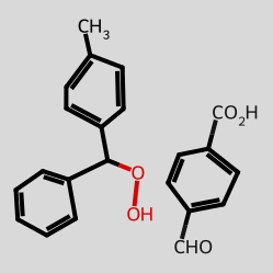 Cc1ccc(C(OO)c2ccccc2)cc1.O=Cc1ccc(C(=O)O)cc1